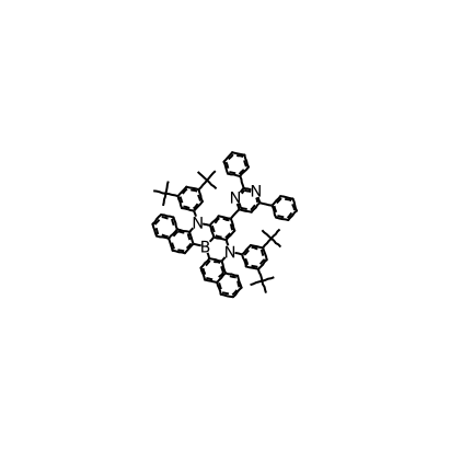 CC(C)(C)c1cc(N2c3cc(-c4cc(-c5ccccc5)nc(-c5ccccc5)n4)cc4c3B(c3ccc5ccccc5c32)c2ccc3ccccc3c2N4c2cc(C(C)(C)C)cc(C(C)(C)C)c2)cc(C(C)(C)C)c1